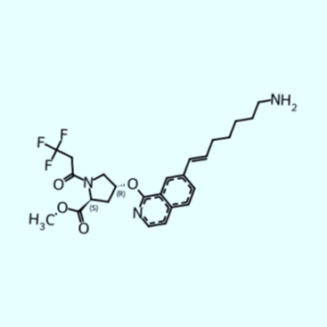 COC(=O)[C@@H]1C[C@@H](Oc2nccc3ccc(C=CCCCCCN)cc23)CN1C(=O)CC(F)(F)F